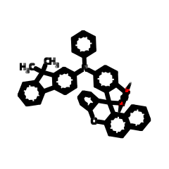 CC1(C)c2ccccc2-c2ccc(N(c3ccccc3)c3ccc4c(c3)C3(c5ccccc5Oc5ccc6ccccc6c53)c3ccccc3-4)cc21